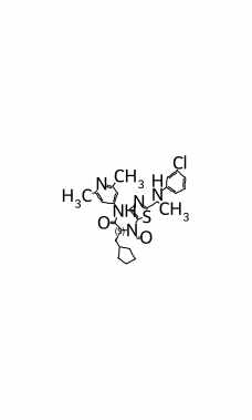 Cc1cc(NC(=O)[C@H](CC2CCCC2)N(C=O)c2cnc(C(C)Nc3cccc(Cl)c3)s2)cc(C)n1